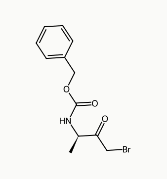 C[C@@H](NC(=O)OCc1ccccc1)C(=O)CBr